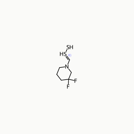 FC1(F)CCCN(/C=[SH]/S)C1